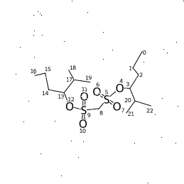 CCCC(OS(=O)(=O)CS(=O)(=O)OC(CCC)C(C)C)C(C)C